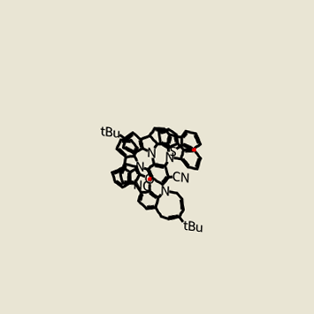 CC(C)(C)C1=C/Cc2ccc3c(oc4ccccc43)c2N(c2c(C#N)c(-n3c4ccccc4c4ccccc43)c(N3c4ccc(C(C)(C)C)cc4C4C=Cc5c(sc6ccccc56)C43)c(-n3c4ccccc4c4ccccc43)c2C#N)C/C=C\1